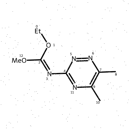 CCOC(=Nc1nnc(C)c(C)n1)OC